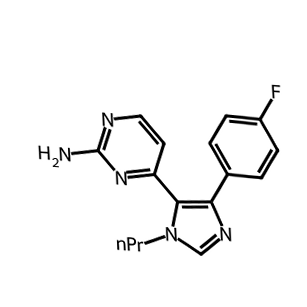 CCCn1cnc(-c2ccc(F)cc2)c1-c1ccnc(N)n1